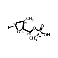 C[C@H]1C[C@H](I)O[C@@H]1[C@@H](C)OP(=O)(O)O